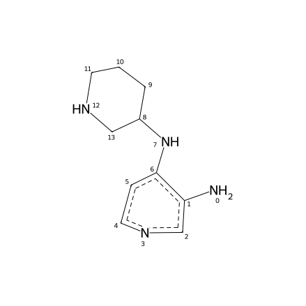 Nc1cnccc1NC1CCCNC1